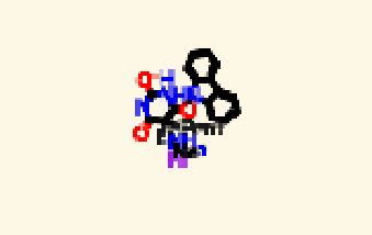 CCCC(C)C1(CC)C(=O)N=C([O-])NC1=O.I.N.[Na+].c1ccc2c(c1)[nH]c1ccccc12